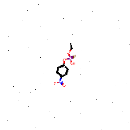 CCOP(O)(=S)Oc1ccc([N+](=O)[O-])cc1